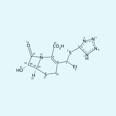 CCC(Sc1nnn[nH]1)C1=C(C(=O)O)N2C(=O)[C@@H](O)[C@@H]2SC1